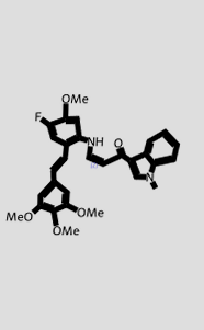 COc1cc(N/C=C\C(=O)c2cn(C)c3ccccc23)c(C=Cc2cc(OC)c(OC)c(OC)c2)cc1F